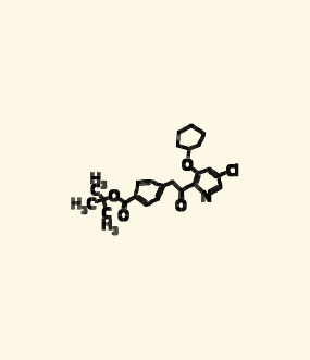 CC(C)(C)OC(=O)c1ccc(CC(=O)c2ncc(Cl)cc2OC2CCCCC2)cc1